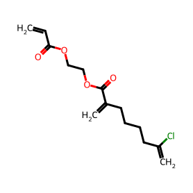 C=CC(=O)OCCOC(=O)C(=C)CCCCC(=C)Cl